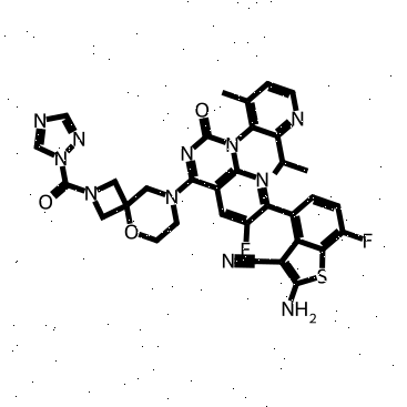 Cc1ccnc(C(C)C)c1-n1c(=O)nc(N2CCOC3(CN(C(=O)n4cncn4)C3)C2)c2cc(F)c(-c3ccc(F)c4sc(N)c(C#N)c34)nc21